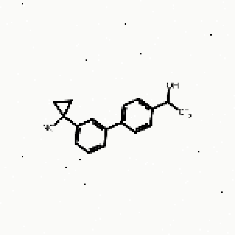 N#CC1(c2cccc(-c3ccc(C(O)C(F)(F)F)cc3)c2)CC1